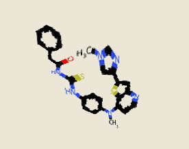 CN(c1ccc(NC(=S)NC(=O)Cc2ccccc2)cc1)c1ccnc2cc(-c3cn(C)cn3)sc12